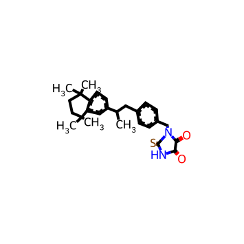 CC(Cc1ccc(CN2C(=O)C(=O)NC2=S)cc1)c1ccc2c(c1)C(C)(C)CCC2(C)C